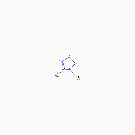 CN1C[CH]N=C1C#N